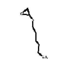 CCCCCCOC1CO1